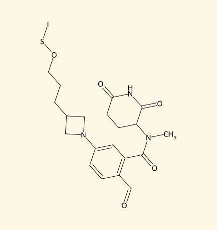 CN(C(=O)c1cc(N2CC(CCCOSI)C2)ccc1C=O)C1CCC(=O)NC1=O